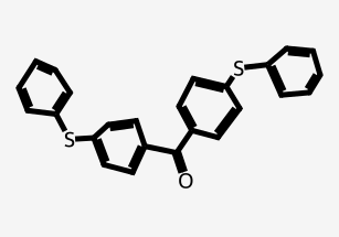 O=C(c1ccc(Sc2ccccc2)cc1)c1ccc(Sc2ccccc2)cc1